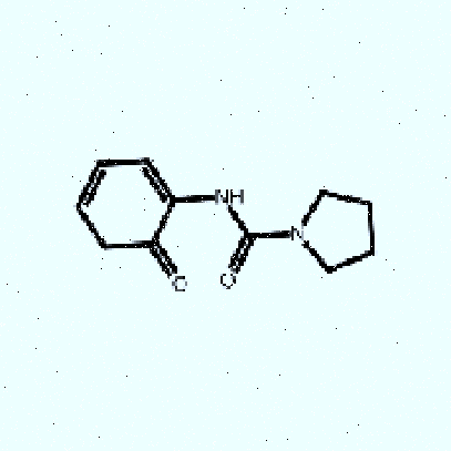 O=C1CC=C[C]=C1NC(=O)N1CCCC1